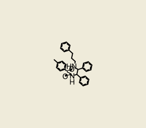 Cc1ccc(S(=O)(=O)NC(c2ccccc2)C(NCCCc2ccccc2)c2ccccc2)cc1